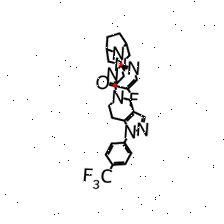 O=C(CN1CC2CCC(C1)N2c1ncc(F)cn1)N1CCc2c(cnn2-c2ccc(C(F)(F)F)cc2)C1